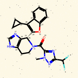 Cn1nc(C(F)F)nc1C(=O)N1CCc2[nH]cnc2[C@@H]1c1oc2ccccc2c1C1CC1